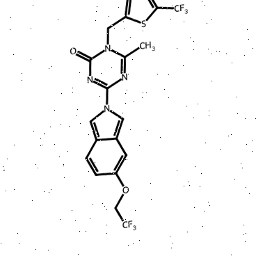 Cc1nc(-n2cc3ccc(OCC(F)(F)F)cc3c2)nc(=O)n1Cc1ccc(C(F)(F)F)s1